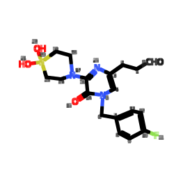 O=CCCc1cn(Cc2ccc(F)cc2)c(=O)c(N2CCS(O)(O)CC2)n1